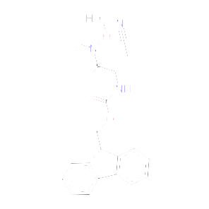 CON(C)C(=O)[C@H](CC#N)NC(=O)OCC1c2ccccc2-c2ccccc21